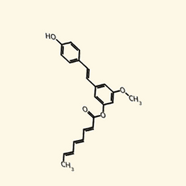 C/C=C/C=C/C=C/C(=O)Oc1cc(/C=C/c2ccc(O)cc2)cc(OC)c1